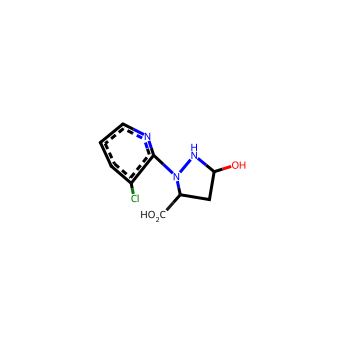 O=C(O)C1CC(O)NN1c1ncccc1Cl